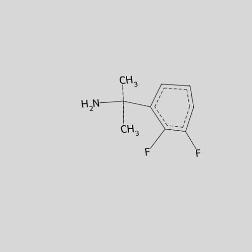 CC(C)(N)c1cccc(F)c1F